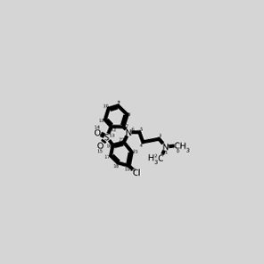 CN(C)CCCN1c2ccccc2S(=O)(=O)c2ccc(Cl)cc21